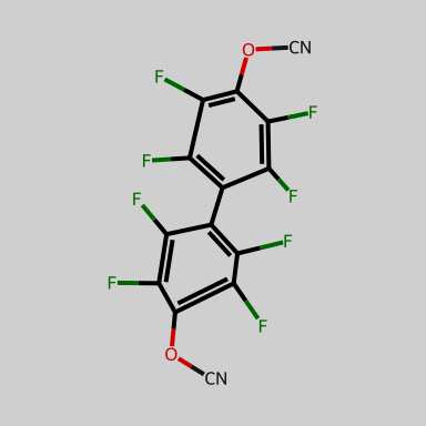 N#COc1c(F)c(F)c(-c2c(F)c(F)c(OC#N)c(F)c2F)c(F)c1F